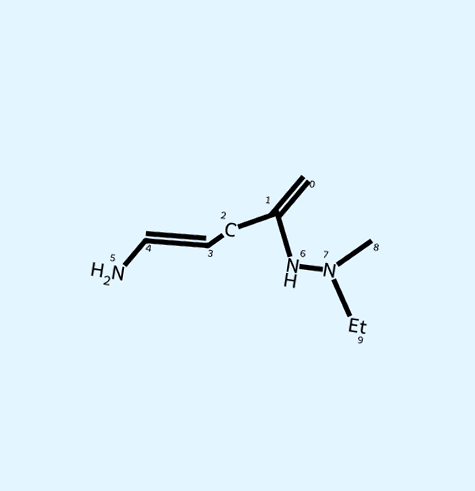 C=C(C/C=C/N)NN(C)CC